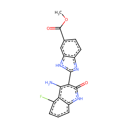 COC(=O)c1ccc2nc(-c3c(N)c4c(F)cccc4[nH]c3=O)[nH]c2c1